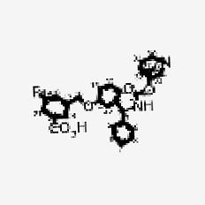 O=C(N[C@@H](c1ccccc1)c1cccc(OCc2cc(F)cc(C(=O)O)c2)c1)OC1CN2CCC1CC2